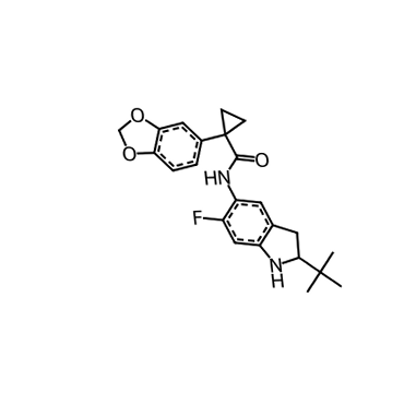 CC(C)(C)C1Cc2cc(NC(=O)C3(c4ccc5c(c4)OCO5)CC3)c(F)cc2N1